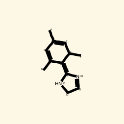 CC1=[C]C(C)=CC(C)C1=C1N=CCN1